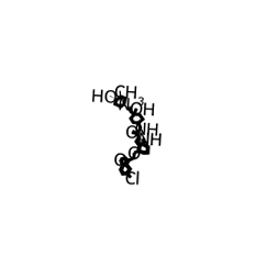 C[C@H]1CN(CCC2(O)CCC(NC(=O)c3cc4c(OCc5coc6ccc(Cl)cc56)cccc4[nH]3)CC2)CC[C@@H]1O